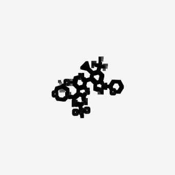 C[C@@]1(O)COCCN(c2nc(S(C)(=O)=O)nc3sc4c(-c5c(C6CC6)c(C(F)(F)F)cc6c5cnn6C5CCCCO5)nccc4c23)C1